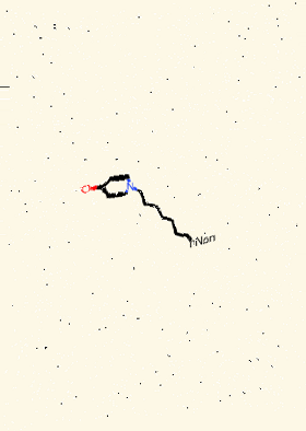 CCCCCCCCCCCCCCCCn1ccc(=O)cc1